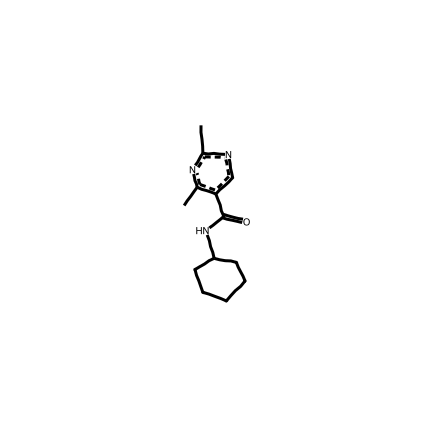 Cc1ncc(C(=O)NC2CCCCC2)c(C)n1